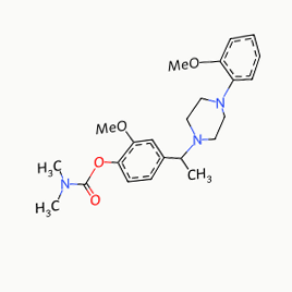 COc1cc(C(C)N2CCN(c3ccccc3OC)CC2)ccc1OC(=O)N(C)C